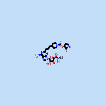 CCNC(=O)[C@H]1O[C@@H](n2cnc3c(N)nc(CCCC4CCN(C(=O)OC5CCNC5=O)CC4)nc32)[C@@H](O)C1O